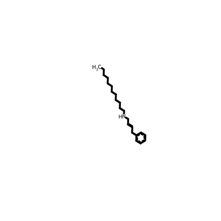 CCCCCCCCCCCCNCC=CCc1ccccc1